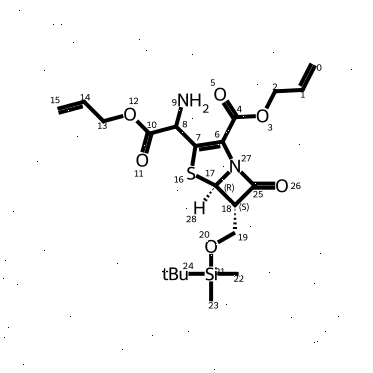 C=CCOC(=O)C1=C(C(N)C(=O)OCC=C)S[C@@H]2[C@@H](CO[Si](C)(C)C(C)(C)C)C(=O)N12